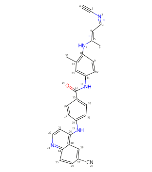 C#C/N=C\C=C(/C)Nc1ccc(NC(=O)c2ccc(Nc3ccnc4ccc(C#N)cc34)cc2)cc1C